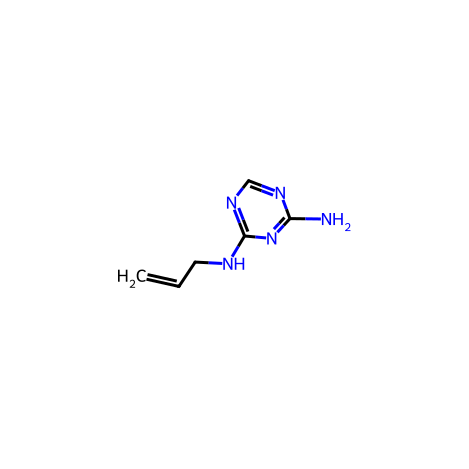 C=CCNc1ncnc(N)n1